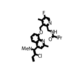 C=C/C(Cl)=C(\NC)c1cc(C)nc2c(OCc3c(CNC(=O)C(C)C)ncc(F)c3C)cccc12